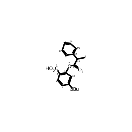 CCC(C)c1ccc(C(=O)O)c(OC(=O)C(C)c2ccccc2)c1